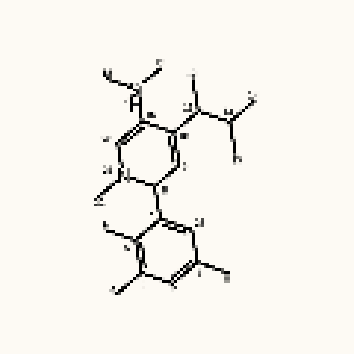 Cc1cc(C)c(C)c(C2C=C(C(C)C(C)C)C([SiH](C)C)=CN2C)c1